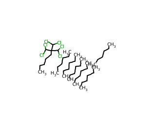 CCCCCC.CCCCCC.CCCCCC.CCCCCC.CCCCCC.CCCCCC.CCCCCC(C(Cl)Cl)(C(Cl)Cl)C(Cl)Cl